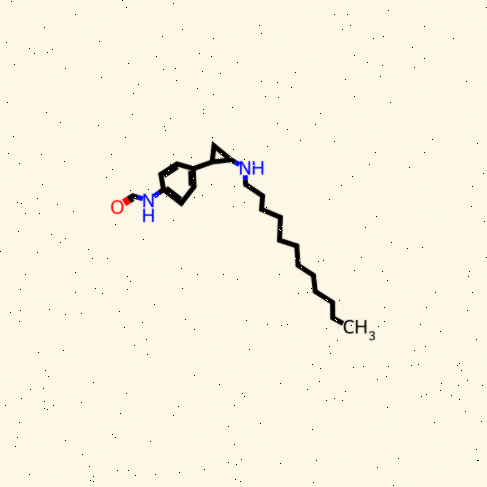 CCCCCCCCCCCCNC1CC1c1ccc(NC=O)cc1